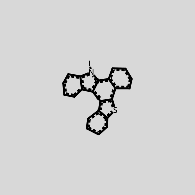 In1c2ccccc2c2c3c4ccccc4sc3c3ccccc3c21